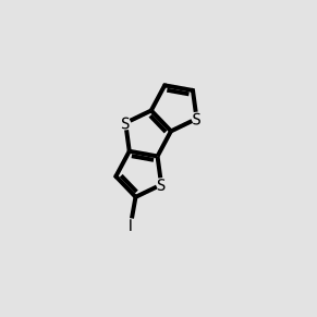 Ic1cc2sc3ccsc3c2s1